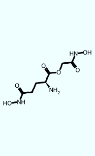 N[C@@H](CCC(=O)NO)C(=O)OCC(=O)NO